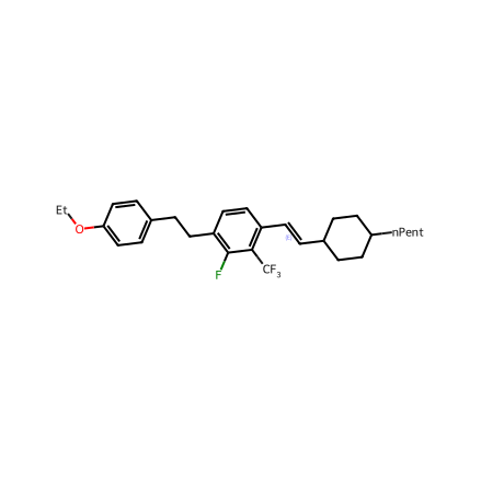 CCCCCC1CCC(/C=C/c2ccc(CCc3ccc(OCC)cc3)c(F)c2C(F)(F)F)CC1